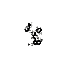 CCc1c(F)ccc2cc(O)cc(-c3ncc4c(N5C[C@@H]6CC[C@@H](C5)N6)nc(OC[C@]56CCCN5C[C@]5(CC5(F)F)C6)nc4c3F)c12